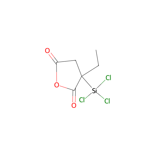 CCC1([Si](Cl)(Cl)Cl)CC(=O)OC1=O